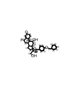 C[C@]12C=CC(=O)C=C1[C@@H](F)CC1C3CC[C@@](OC(=O)c4ccc(OCc5ccccc5)cc4)(C(=O)CO)[C@@]3(C)C[C@H](O)C12F